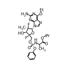 CCOc1nc(N)nc2c1ncn2[C@@H]1O[C@](F)(CO[P@](=O)(NC(C)C(=O)OC(C)C)Oc2ccccc2)[C@@H](O)[C@@]1(C)F